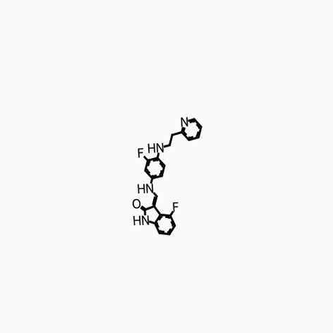 O=C1Nc2cccc(F)c2C1=CNc1ccc(NCCc2ccccn2)c(F)c1